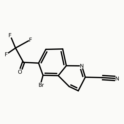 N#Cc1ccc2c(Br)c(C(=O)C(F)(F)F)ccc2n1